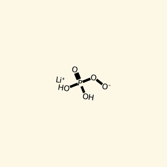 O=P(O)(O)O[O-].[Li+]